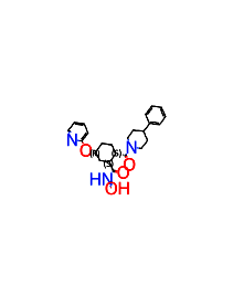 O=C(NO)[C@H]1C[C@H](Oc2ccccn2)CC[C@@H]1C(=O)N1CCC(c2ccccc2)CC1